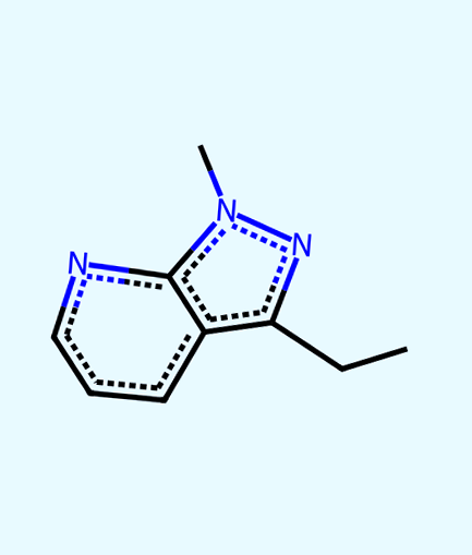 CCc1nn(C)c2ncccc12